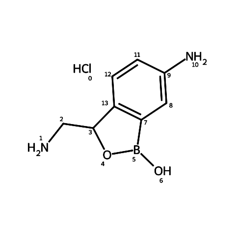 Cl.NCC1OB(O)c2cc(N)ccc21